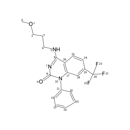 COCCCNc1nc(=O)n(-c2ccccc2)c2cc(C(F)(F)F)ccc12